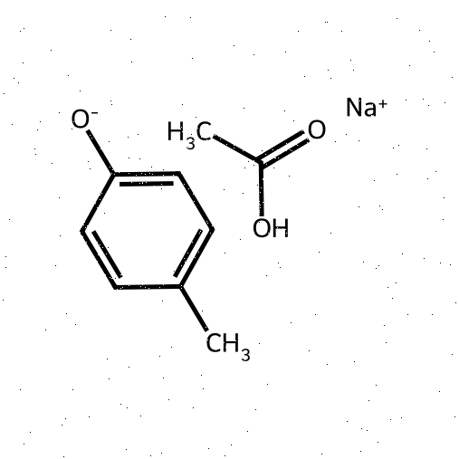 CC(=O)O.Cc1ccc([O-])cc1.[Na+]